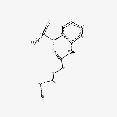 NC(=O)Oc1ccccc1NC(=O)CCCCBr